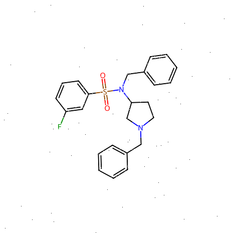 O=S(=O)(c1cccc(F)c1)N(Cc1ccccc1)C1CCN(Cc2ccccc2)C1